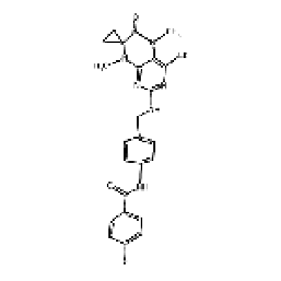 CCc1nc(NCc2ccc(NC(=O)c3ccc(F)cc3)cc2)nc2c1N(C)C(=O)C1(CC1)N2C